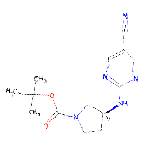 CC(C)(C)OC(=O)N1CC[C@H](Nc2ncc(C#N)cn2)C1